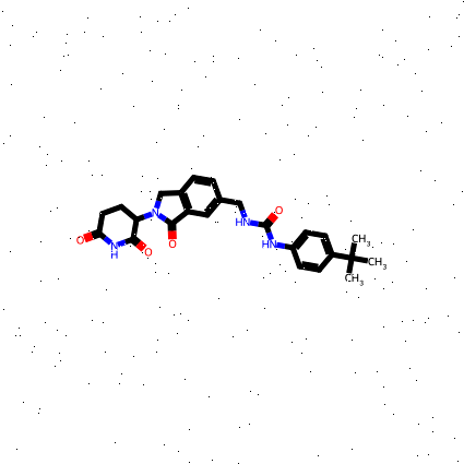 CC(C)(C)c1ccc(NC(=O)NCc2ccc3c(c2)C(=O)N(C2CCC(=O)NC2=O)C3)cc1